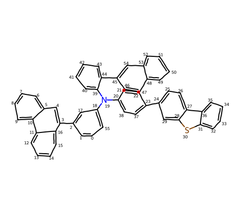 c1cc(-c2cc3ccccc3c3ccccc23)cc(N(c2ccc(-c3ccc4c(c3)sc3ccccc34)cc2)c2ccccc2-c2ccc3ccccc3c2)c1